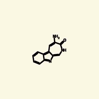 Nc1cc2c3ccccc3nc-2c[nH]c1=O